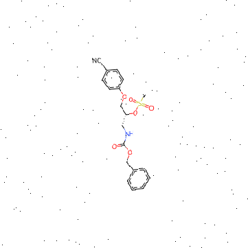 CS(=O)(=O)O[C@H](CNC(=O)OCc1ccccc1)COc1ccc(C#N)cc1